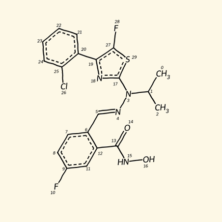 CC(C)N(/N=C/c1ccc(F)cc1C(=O)NO)c1nc(-c2ccccc2Cl)c(F)s1